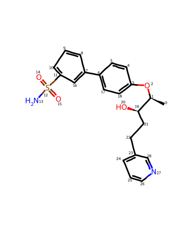 C[C@H](Oc1ccc(-c2cccc(S(N)(=O)=O)c2)cc1)[C@H](O)CCc1cccnc1